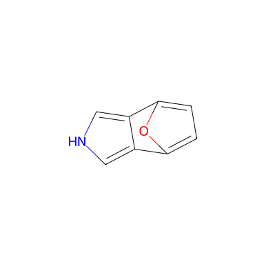 c1cc2oc1c1c[nH]cc21